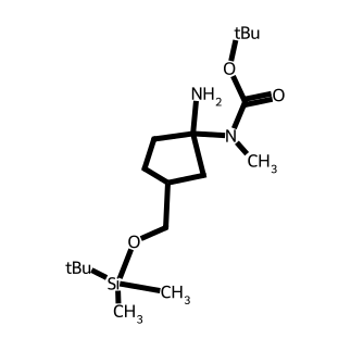 CN(C(=O)OC(C)(C)C)C1(N)CCC(CO[Si](C)(C)C(C)(C)C)C1